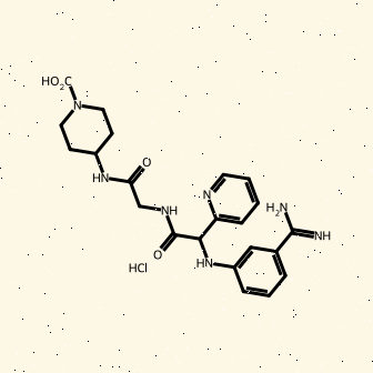 Cl.N=C(N)c1cccc(NC(C(=O)NCC(=O)NC2CCN(C(=O)O)CC2)c2ccccn2)c1